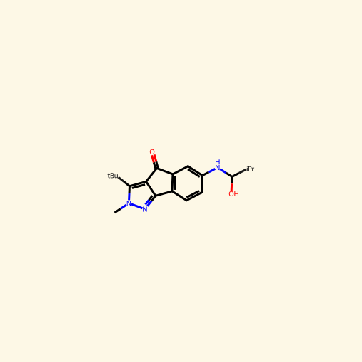 CC(C)C(O)Nc1ccc2c(c1)C(=O)c1c-2nn(C)c1C(C)(C)C